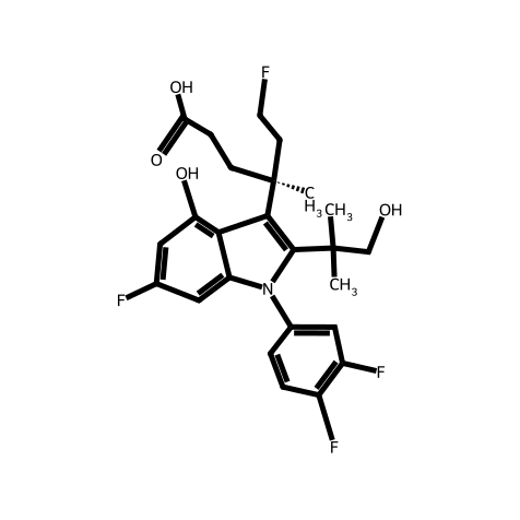 CC(C)(CO)c1c([C@](C)(CCF)CCC(=O)O)c2c(O)cc(F)cc2n1-c1ccc(F)c(F)c1